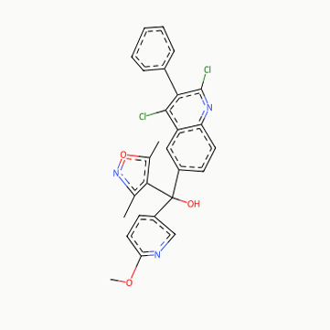 COc1ccc(C(O)(c2ccc3nc(Cl)c(-c4ccccc4)c(Cl)c3c2)c2c(C)noc2C)cn1